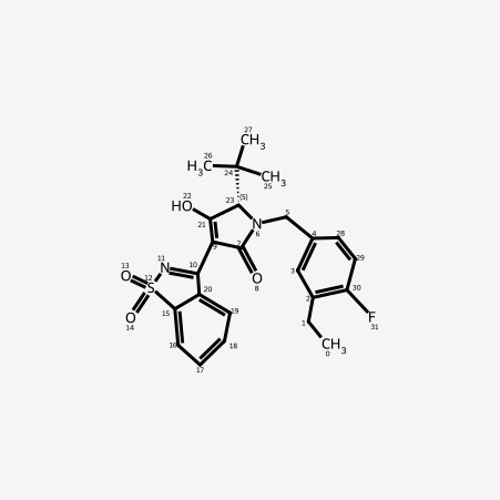 CCc1cc(CN2C(=O)C(C3=NS(=O)(=O)c4ccccc43)=C(O)[C@@H]2C(C)(C)C)ccc1F